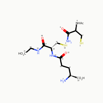 CC(=O)NC(CS)C(N)=O.N[C@@H](CCC(=O)N[C@@H](CS)C(=O)NCC(=O)O)C(=O)O